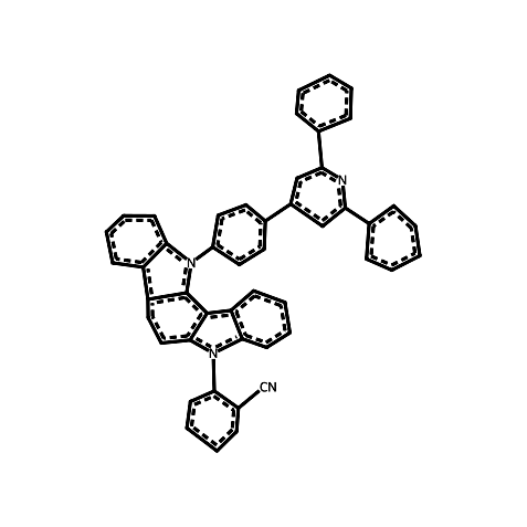 N#Cc1ccccc1-n1c2ccccc2c2c1ccc1c3ccccc3n(-c3ccc(-c4cc(-c5ccccc5)nc(-c5ccccc5)c4)cc3)c12